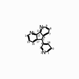 c1cncc(C2c3cccnc3-c3ncccc32)c1